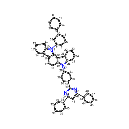 c1ccc(-c2cccc(-n3c4ccccc4c4ccc5c(c6ccccc6n5-c5ccc(-c6nc(-c7ccccc7)cc(-c7ccccc7)n6)cc5)c43)c2)cc1